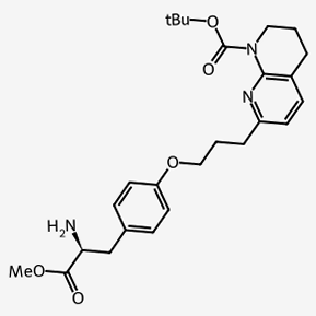 COC(=O)[C@@H](N)Cc1ccc(OCCCc2ccc3c(n2)N(C(=O)OC(C)(C)C)CCC3)cc1